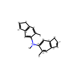 Cc1cc2c(cc1N(C)c1cc3c(cc1C)C=CC3)C=CC2